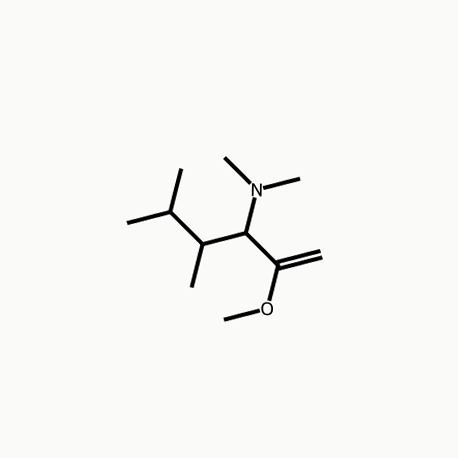 C=C(OC)C(C(C)C(C)C)N(C)C